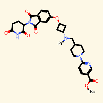 CC(C)N(CC1CCN(c2ccc(C(=O)OC(C)(C)C)cn2)CC1)[C@H]1C[C@H](Oc2ccc3c(c2)C(=O)N(C2CCC(=O)NC2=O)C3=O)C1